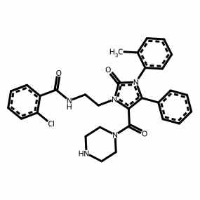 Cc1ccccc1-n1c(-c2ccccc2)c(C(=O)N2CCNCC2)n(CCNC(=O)c2ccccc2Cl)c1=O